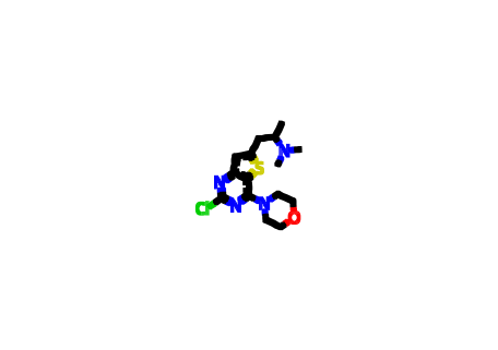 CC(Cc1cc2nc(Cl)nc(N3CCOCC3)c2s1)N(C)C